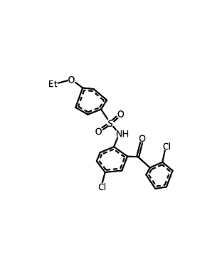 CCOc1ccc(S(=O)(=O)Nc2ccc(Cl)cc2C(=O)c2ccccc2Cl)cc1